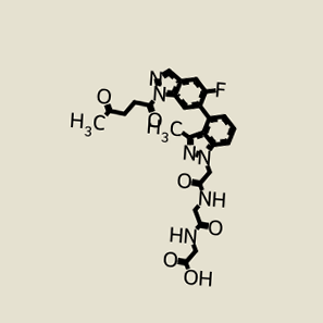 CC(=O)CCC(=O)n1ncc2cc(F)c(-c3cccc4c3c(C)nn4CC(=O)NCC(=O)NCC(=O)O)cc21